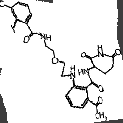 CC(=O)c1cccc(NCCOCCNC(=O)c2cccc(C)c2I)c1C(=O)NC1CCC(=O)NC1=O